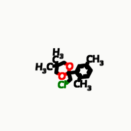 Cc1ccc(C)c(C2(CCl)OCC(C)(C)CO2)c1